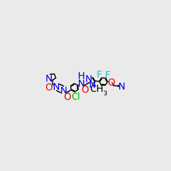 Cn1c(-c2ccc(OCC#N)c(F)c2F)cnc1C(=O)Nc1ccc(C(=O)N2CCN(C(=O)C3=NCCC3)CC2)c(Cl)c1